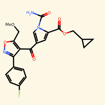 COCc1onc(-c2ccc(F)cc2)c1C(=O)c1cc(C(=O)OCC2CC2)n(C(N)=O)c1